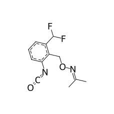 CC(C)=NOCc1c(N=C=O)cccc1C(F)F